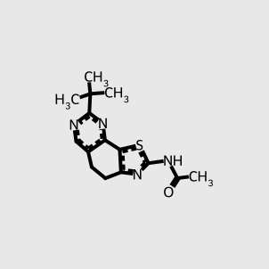 CC(=O)Nc1nc2c(s1)-c1nc(C(C)(C)C)ncc1CC2